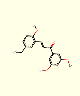 CCc1ccc(OC)c(C=CC(=O)c2cc(OC)cc(OC)c2)c1